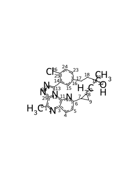 Cc1nc2ccc(C3CC3)nc2n2c(-c3cc(CCC(C)(C)O)ccc3Cl)nnc12